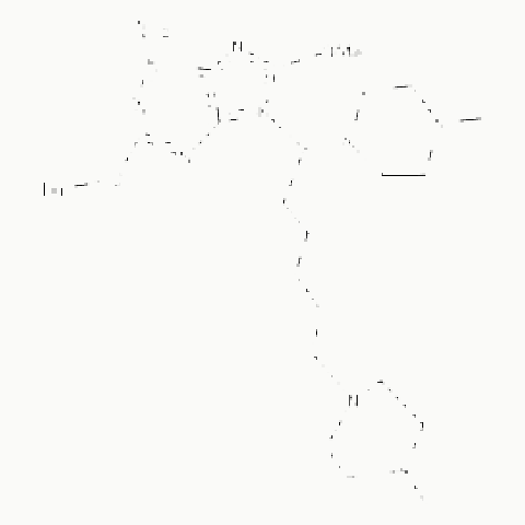 CCCCOc1nc(N)c2nc(OC)n(C(CCCCCN3CCN(C)CC3)N3CCN(C)CC3)c2n1